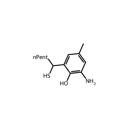 CCCCCC(S)c1cc(C)cc(N)c1O